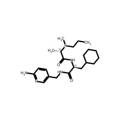 CCCN(C)[C@@H](C)C(=O)N[C@@H](CC1CCCCC1)C(=O)NCc1ccc(N)nc1